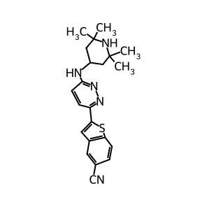 CC1(C)CC(Nc2ccc(-c3cc4cc(C#N)ccc4s3)nn2)CC(C)(C)N1